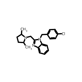 CC1CCC(C)N1Cc1nc2ccccc2n1Cc1ccc(Cl)cc1